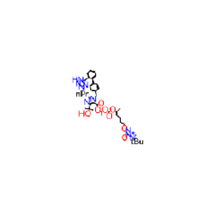 CCCc1nc(C(C)(C)O)c(C(=O)OC(C)OC(=O)O[C@@H](C)CCCCO/N=[N+](\[O-])N(C)C(C)(C)C)n1Cc1ccc(-c2ccccc2-c2nnn[nH]2)cc1